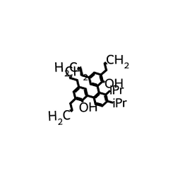 C=CCc1cc(CC=C)c(O)c(-c2ccc(C(C)C)c(C(C)C)c2-c2cc(CC=C)cc(CC=C)c2O)c1